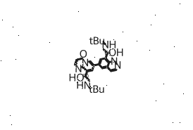 CC(C)(C)NC[C@H](O)c1cc(-c2cc([C@@H](O)CNC(C)(C)C)c3nccc(=O)n3c2)cc2ccnnc12